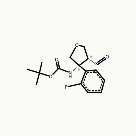 CC(C)(C)OC(=O)N[C@]1(c2ccccc2F)COC[C@@H]1C=O